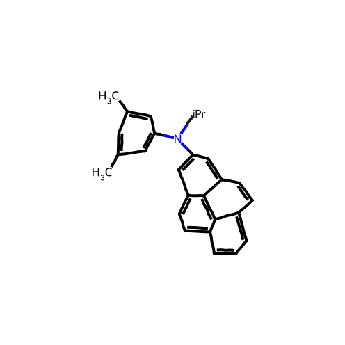 Cc1cc(C)cc(N(c2cc3ccc4cccc5ccc(c2)c3c45)C(C)C)c1